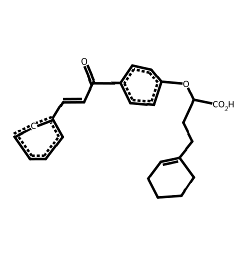 O=C(/C=C/c1ccccc1)c1ccc(OC(CCC2=CCCCC2)C(=O)O)cc1